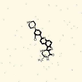 C[C@@H]1CNc2c(sc3ccc4nc(-c5ccc(N6CCNCC6)cc5Cl)ccc4c23)C(=O)N1